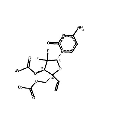 C=C[C@]1(COC(=O)CC)O[C@@H](n2ccc(N)nc2=O)C(F)(F)[C@@H]1OC(=O)C(C)C